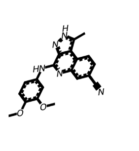 COc1ccc(Nc2nc3cc(C#N)ccc3c3c(C)[nH]nc23)cc1OC